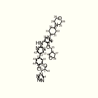 CC(Cn1cnnn1)Oc1cc(-c2cnc(Nc3cn(C4CCC(N5CCOCC5)CC4)nc3OCC3CCOC3)nc2)ccc1Cl